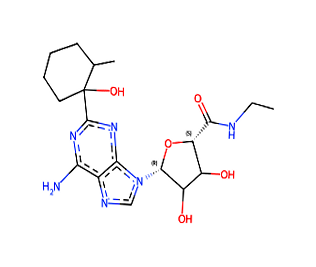 CCNC(=O)[C@H]1O[C@@H](n2cnc3c(N)nc(C4(O)CCCCC4C)nc32)C(O)C1O